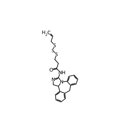 C=CCSSSCCC(=O)NC1=NCC2c3ccccc3Cc3ccccc3N12